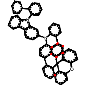 c1ccc(-c2ccccc2N(c2ccc3c4ccccc4n(-c4ccccc4-c4ccccc4)c3c2)c2ccc3c4c(cccc24)C2(c4ccccc4Oc4ccccc42)c2ccccc2-3)cc1